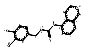 O=C(NCc1ccc(F)c(Cl)c1)Nc1cccc2cnccc12